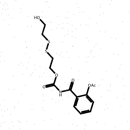 CC(=O)Oc1ccccc1C(=O)NC(=O)OCCSSCCO